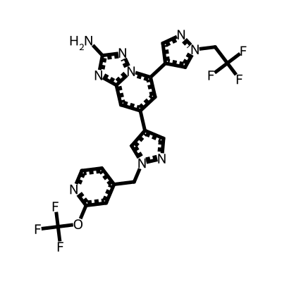 Nc1nc2cc(-c3cnn(Cc4ccnc(OC(F)(F)F)c4)c3)cc(-c3cnn(CC(F)(F)F)c3)n2n1